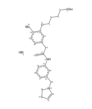 Br.CCCCCCCCCCCCCCOc1cc(CC(=O)Nc2cccc(CN3C=CSC3)c2)ccc1C(C)(C)C